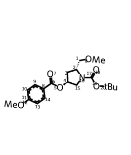 COC[C@H]1C[C@H](OC(=O)c2ccc(OC)cc2)CN1C(=O)OC(C)(C)C